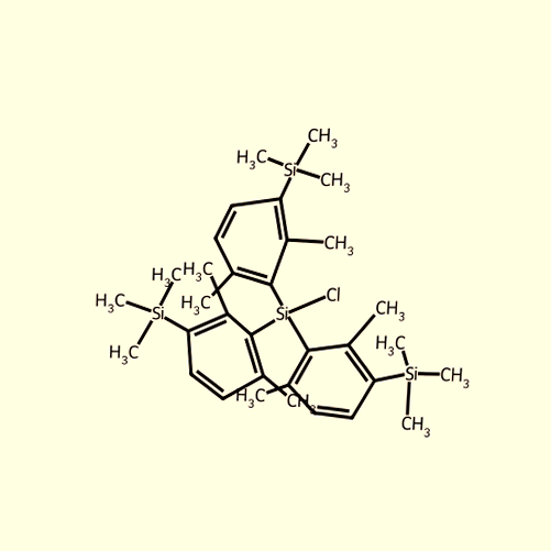 Cc1ccc([Si](C)(C)C)c(C)c1[Si](Cl)(c1c(C)ccc([Si](C)(C)C)c1C)c1c(C)ccc([Si](C)(C)C)c1C